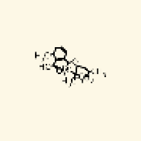 CC(C)CC(OC(O)C1=C(C(=O)O)C(C)CC=C1)C(C)(C)C